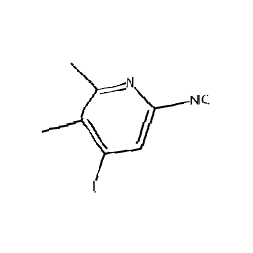 [C-]#[N+]c1cc(I)c(C)c(C)n1